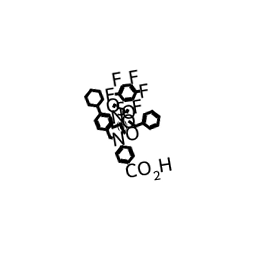 O=C(O)c1ccc(N(Cc2ccc(C3CCCCC3)cc2)C(=O)[C@]2(OCc3ccccc3)CCN2S(=O)(=O)c2c(F)c(F)c(F)c(F)c2F)cc1